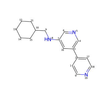 c1cc(-c2cncc(NCC3CCCCC3)c2)ccn1